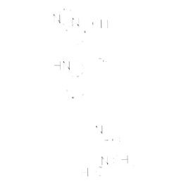 Cc1cc(-c2[nH]c3ccc(C4CCN(C(=O)CN(C)C)CC4)cc3c2C(C)C)cc2nccn12